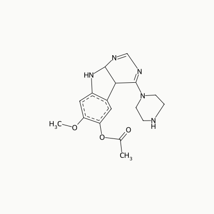 COc1cc2c(cc1OC(C)=O)C1C(N3CCNCC3)=NC=NC1N2